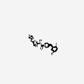 O=C(Nc1ncc(Cn2cncn2)s1)N1CCC(=Cc2cc(F)ccc2F)CC1